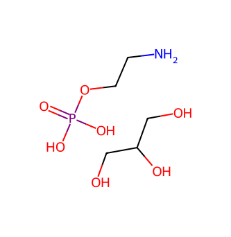 NCCOP(=O)(O)O.OCC(O)CO